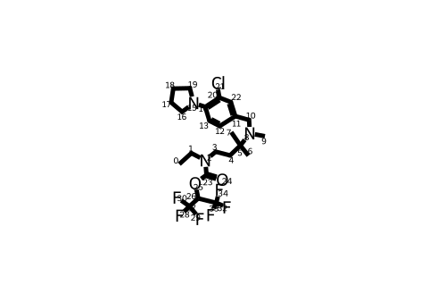 CCN(CCC(C)(C)N(C)Cc1ccc(N2CCCC2)c(Cl)c1)C(=O)OC(C(F)(F)F)C(F)(F)F